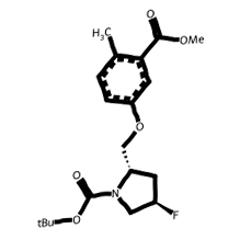 COC(=O)c1cc(OC[C@@H]2C[C@@H](F)CN2C(=O)OC(C)(C)C)ccc1C